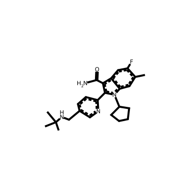 Cc1cc2c(cc1F)c(C(N)=O)c(-c1ccc(CNC(C)(C)C)cn1)n2C1CCCC1